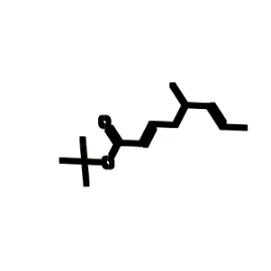 CC=CC(C)CC=CC(=O)OC(C)(C)C